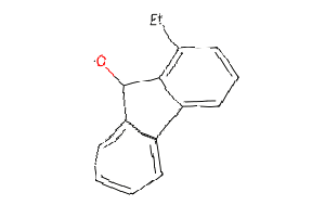 CCc1cccc2c1C([O])c1ccccc1-2